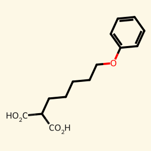 O=C(O)C(CCCCCOc1ccccc1)C(=O)O